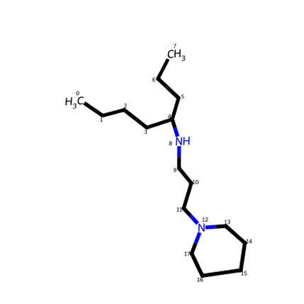 CCCCC(CCC)NCCCN1CCCCC1